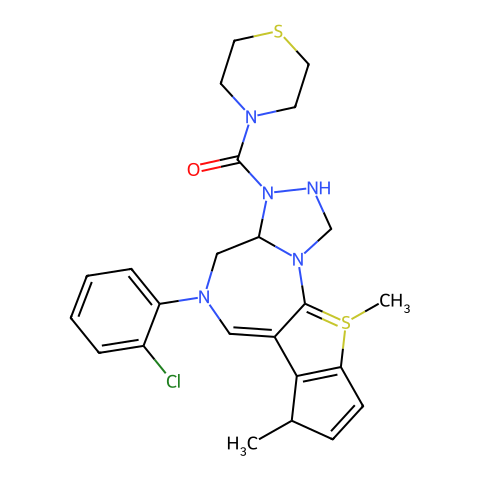 CC1C=CC2=C1C1=CN(c3ccccc3Cl)CC3N(CNN3C(=O)N3CCSCC3)C1=S2C